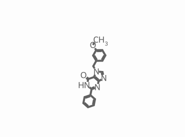 COc1cccc(Cn2cnc3nc(-c4ccccc4)[nH]c(=O)c32)c1